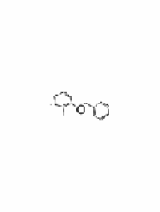 Cc1[c]cccc1OCc1ccccc1